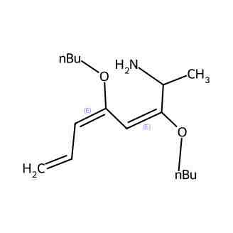 C=C/C=C(\C=C(\OCCCC)C(C)N)OCCCC